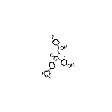 Cc1cc(O)ccc1[C@@H]1[C@@H](SC[C@@H](O)c2ccc(F)cc2)C(=O)N1c1ccc(-c2cncnc2)cc1